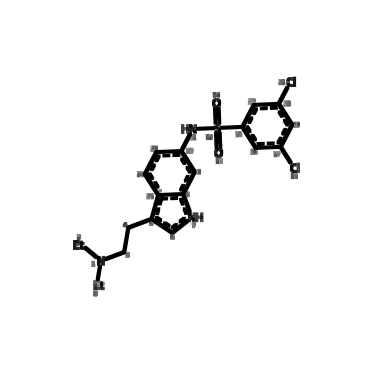 CCN(CC)CCc1c[nH]c2cc(NS(=O)(=O)c3cc(Cl)cc(Cl)c3)ccc12